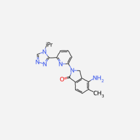 Cc1ccc2c(c1N)CN(c1cccc(-c3nncn3C(C)C)n1)C2=O